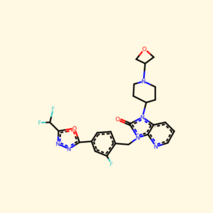 O=c1n(Cc2ccc(-c3nnc(C(F)F)o3)cc2F)c2ncccc2n1C1CCN(C2COC2)CC1